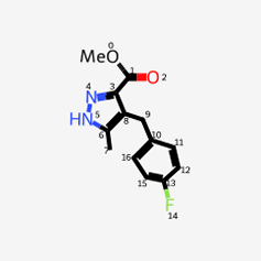 COC(=O)c1n[nH]c(C)c1Cc1ccc(F)cc1